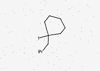 CC(C)CC1(I)CCCCC1